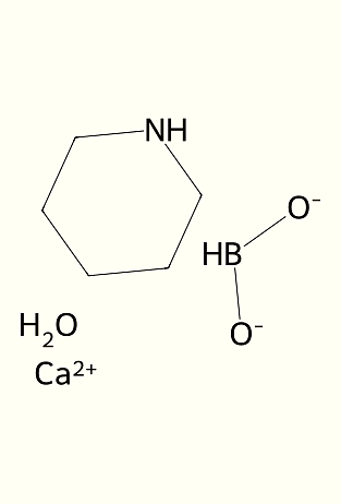 C1CCNCC1.O.[Ca+2].[O-]B[O-]